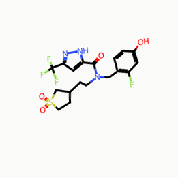 O=C(c1cc(C(F)(F)F)n[nH]1)N(CCC1CCS(=O)(=O)C1)Cc1ccc(O)cc1F